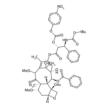 COC1C(=O)[C@]2(C)[C@@H](OC)C[C@H]3OC[C@@]3(OC(C)=O)[C@H]2[C@H](OC(=O)c2ccccc2)[C@]2(O)CC(OC(=O)[C@H](OC(=O)Oc3ccc([N+](=O)[O-])cc3)[C@@H](NC(=O)OC(C)(C)C)c3ccccc3)C(C)=C1C2(C)C